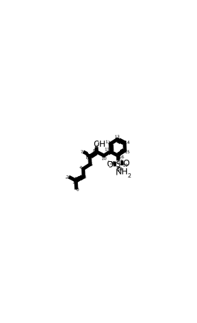 CC(C)=CCC/C(C)=C(/O)Cc1ccccc1S(N)(=O)=O